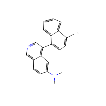 CN([C]=O)c1ccc2cncc(-c3ccc(C#N)c4ccccc34)c2c1